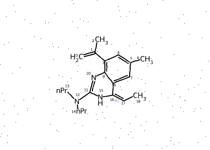 C=C(C)c1cc(C)cc2c1N=C(N(CCC)CCC)N/C2=C/C